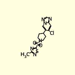 Cc1nsc(S(=O)(=O)N2CCC(c3cn4ncnc4cc3Cl)CC2)n1